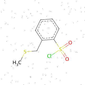 CSCc1ccccc1S(=O)(=O)Cl